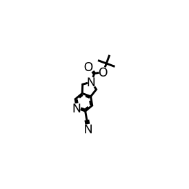 CC(C)(C)OC(=O)N1Cc2cnc(C#N)cc2C1